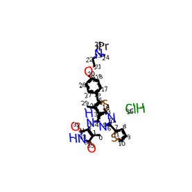 CC1=C(Nc2nc(-c3cccs3)nc3sc(-c4ccc(OCCN(C)C(C)C)cc4)c(C)c23)C(=O)NC1=O.Cl